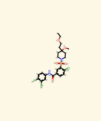 CCOCCC1(OC)CCN(S(=O)(=O)c2cc(C(=O)Nc3ccc(F)c(Br)c3)ccc2Cl)CC1